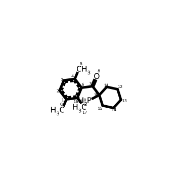 Cc1ccc(C)c(C(=O)C2(P)CCCCC2)c1C